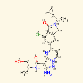 C[C@H](CO)NC(=O)c1c(N)nn2ccc(-c3cc(Cl)c4c(c3)CN([C@@H](C)C3CC3)C4=O)nc12